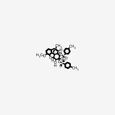 COc1ccc2c3c1O[C@H]1[C@H](O)C(OS(=O)(=O)c4ccc(C)cc4)(OS(=O)(=O)c4ccc(C)cc4)C[C@H]4[C@@H](C2)N(C)CC[C@@]341